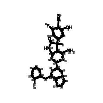 CC1(c2cc(O)c(C#N)c(F)c2)C(=O)Nc2nc(-c3cn4ccnc4c(Cc4ccccc4F)n3)nc(N)c21